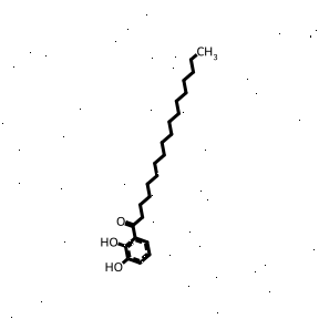 CCCCCCCCCCCCCCCCCC(=O)c1cccc(O)c1O